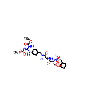 CC(C)(C)OC(=O)/N=C(/NC(=O)OC(C)(C)C)Nc1ccc(CNC(=O)CNC(=O)[C@@H](CO)NS(=O)(=O)Cc2ccccc2)cc1